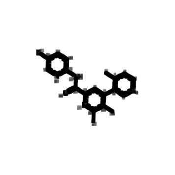 Cc1ccncc1-c1cc(C(=O)Nc2ccc(F)cn2)nc(C)c1C